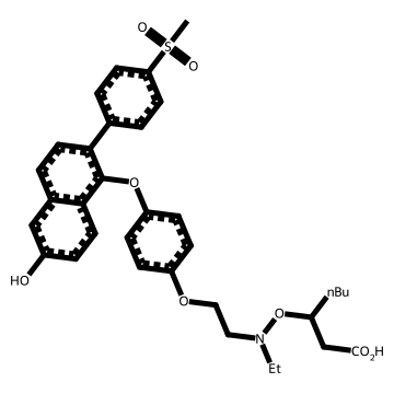 CCCCC(CC(=O)O)ON(CC)CCOc1ccc(Oc2c(-c3ccc(S(C)(=O)=O)cc3)ccc3cc(O)ccc23)cc1